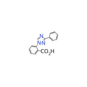 O=C(O)c1ccccc1-n1cnc(-c2ccccc2)n1